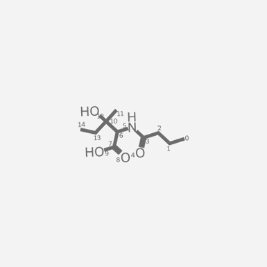 CCCC(=O)NC(C(=O)O)C(C)(O)CC